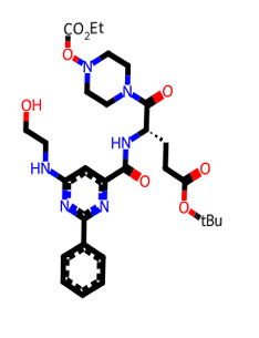 CCOC(=O)ON1CCN(C(=O)[C@H](CCC(=O)OC(C)(C)C)NC(=O)c2cc(NCCO)nc(-c3ccccc3)n2)CC1